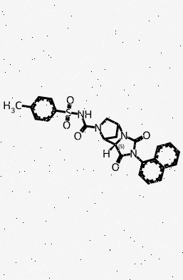 Cc1ccc(S(=O)(=O)NC(=O)N2CC3CC2[C@H]2C(=O)N(c4cccc5ccccc45)C(=O)N32)cc1